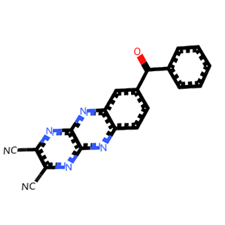 N#Cc1nc2nc3ccc(C(=O)c4ccccc4)cc3nc2nc1C#N